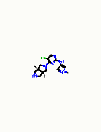 Cn1cc(Nc2ncc(Cl)c(N3C[C@@H]4CNC[C@]4(C)C3)n2)cn1